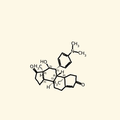 CN(C)c1ccc([C@@H]2[C@H]3[C@@H](CCC4=CC(=O)CC[C@@]43C)[C@@H]3CCC(=O)[C@@]3(C)[C@H]2O)cc1